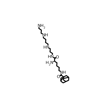 NCCCNCCCCNCCCNC(=O)[C@H](N)CCCCNC(=O)C12CC3CC(CC(C3)C1)C2